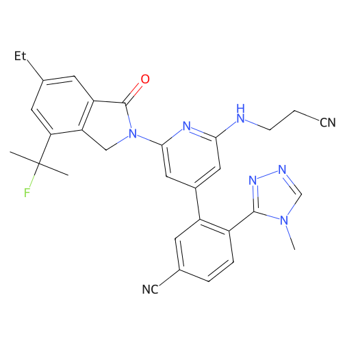 CCc1cc2c(c(C(C)(C)F)c1)CN(c1cc(-c3cc(C#N)ccc3-c3nncn3C)cc(NCCC#N)n1)C2=O